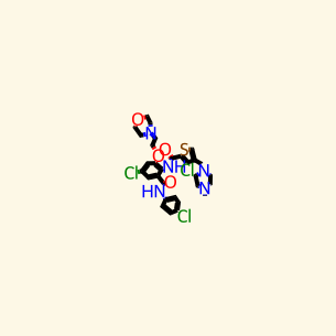 CN1CCN(Cc2csc(C(=O)Nc3c(OCCN4CCOCC4)cc(Cl)cc3C(=O)Nc3ccc(Cl)cc3)c2Cl)CC1